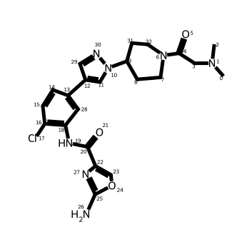 CN(C)CC(=O)N1CCC(n2cc(-c3ccc(Cl)c(NC(=O)c4coc(N)n4)c3)cn2)CC1